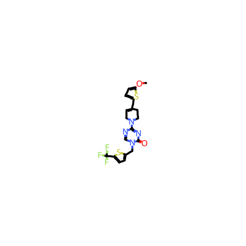 COc1ccc(C2=CCN(c3ncn(Cc4ccc(C(F)(F)F)s4)c(=O)n3)CC2)s1